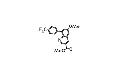 COC(=O)c1cnc2c(-c3ccc(C(F)(F)F)cc3)cc(OC)cc2c1